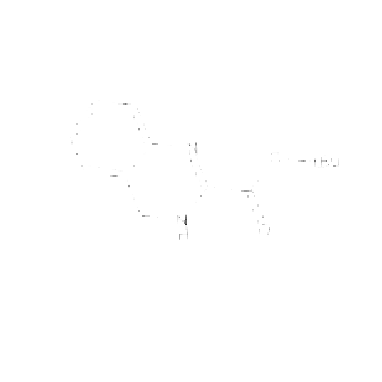 CC(C)(C)OC(=O)C1=Nc2ccccc2CN1